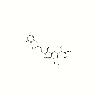 CCCCCN(C[C@@H](O)[C@@H](N)Cc1cc(F)cc(F)c1)C(=O)c1cc(C)cc(C(=O)N(CCC)CCC)c1